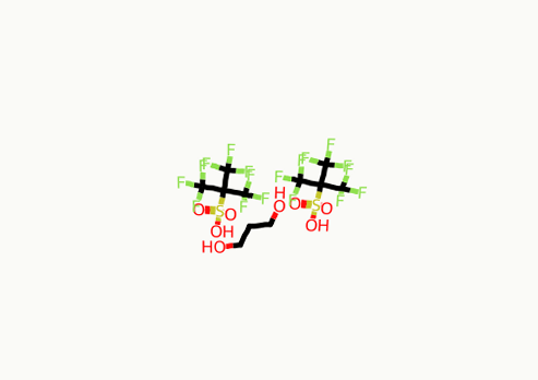 O=S(=O)(O)C(C(F)(F)F)(C(F)(F)F)C(F)(F)F.O=S(=O)(O)C(C(F)(F)F)(C(F)(F)F)C(F)(F)F.OCCCO